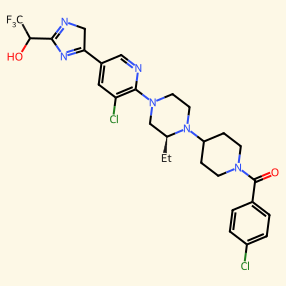 CC[C@H]1CN(c2ncc(C3=NC(C(O)C(F)(F)F)=NC3)cc2Cl)CCN1C1CCN(C(=O)c2ccc(Cl)cc2)CC1